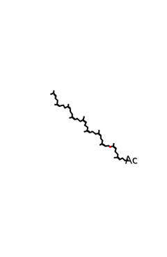 CC(=O)CCC=C(C)CCC=C(C)CCC=C(C)CCC=C(C)CCC=C(C)CCC=C(C)CCC=C(C)CCC=C(C)CCC=C(C)CCC=C(C)C